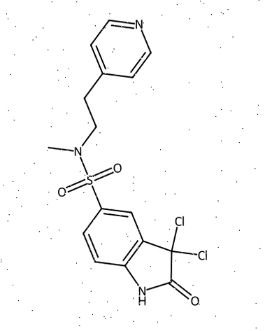 CN(CCc1ccncc1)S(=O)(=O)c1ccc2c(c1)C(Cl)(Cl)C(=O)N2